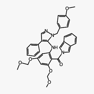 COCOc1cc(Nc2c(-c3ccccc3)cnn2Cc2ccc(OC)cc2)c(C(=O)n2cc3ccccc3c2)c(OCOC)c1